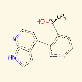 C[C@H](O)c1ccccc1-c1ccnc2[nH]ccc12